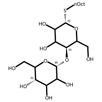 CCCCCCCCS[C@@H]1OC(CO)[C@@H](O[C@H]2OC(CO)[C@@H](O)C(O)C2O)C(O)C1O